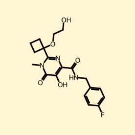 Cn1c(C2(OCCO)CCC2)nc(C(=O)NCc2ccc(F)cc2)c(O)c1=O